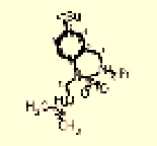 CC(C)N1Cc2cc(C(C)(C)C)ccc2N(CO[SiH](C)C)S1(=O)=O